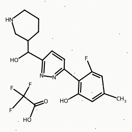 Cc1cc(O)c(-c2ccc(C(O)C3CCCNC3)nn2)c(F)c1.O=C(O)C(F)(F)F